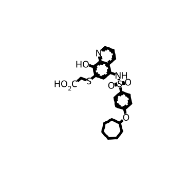 O=C(O)CSc1cc(NS(=O)(=O)c2ccc(OC3CCCCCC3)cc2)c2cccnc2c1O